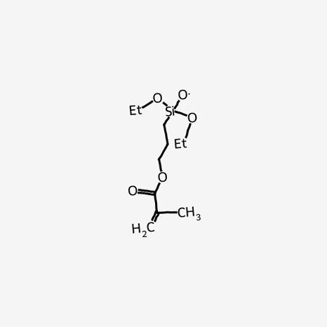 C=C(C)C(=O)OCCC[Si]([O])(OCC)OCC